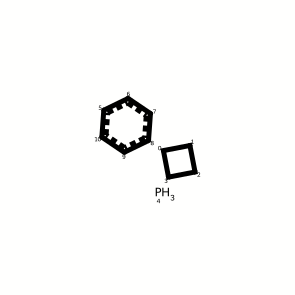 C1CCC1.P.c1ccccc1